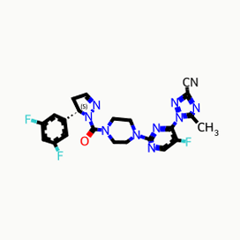 Cc1nc(C#N)nn1-c1nc(N2CCN(C(=O)N3N=CC[C@H]3c3cc(F)cc(F)c3)CC2)ncc1F